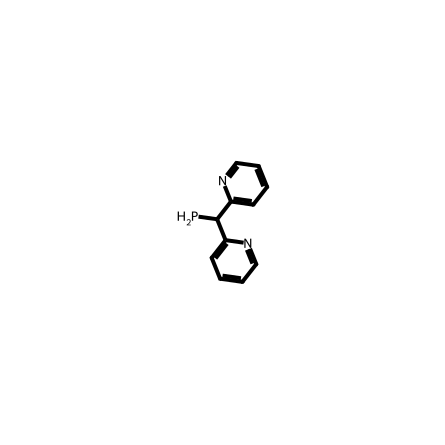 PC(c1ccccn1)c1ccccn1